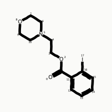 O=C(OCCN1CCOCC1)c1ccccc1I